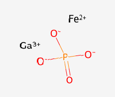 O=P([O-])([O-])[O-].[Fe+2].[Ga+3]